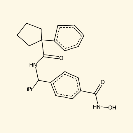 CC(C)C(NC(=O)C1(c2ccccc2)CCCC1)c1ccc(C(=O)NO)cc1